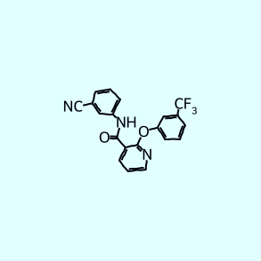 N#Cc1cccc(NC(=O)c2cccnc2Oc2cccc(C(F)(F)F)c2)c1